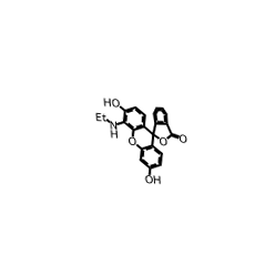 CCNc1c(O)ccc2c1Oc1cc(O)ccc1C21OC(=O)c2ccccc21